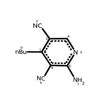 CCCCc1c(C#N)cnc(N)c1C#N